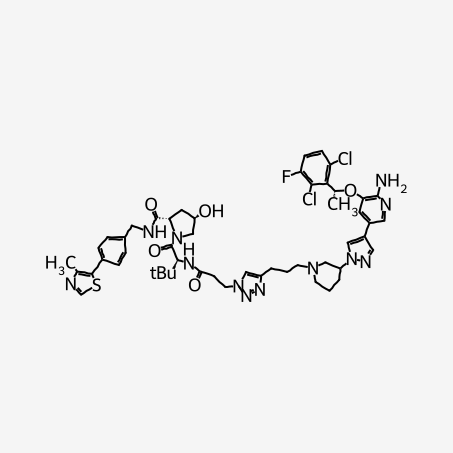 Cc1ncsc1-c1ccc(CNC(=O)[C@@H]2C[C@@H](O)CN2C(=O)[C@@H](NC(=O)CCn2cc(CCCN3CCCC(n4cc(-c5cnc(N)c(O[C@H](C)c6c(Cl)ccc(F)c6Cl)c5)cn4)C3)nn2)C(C)(C)C)cc1